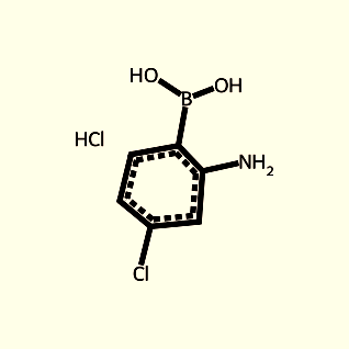 Cl.Nc1cc(Cl)ccc1B(O)O